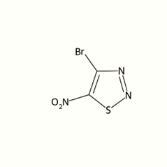 O=[N+]([O-])c1snnc1Br